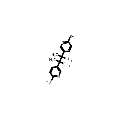 Cc1ccc(C(C)(C)C(C)(C)c2ccc(C(C)C)nc2)cn1